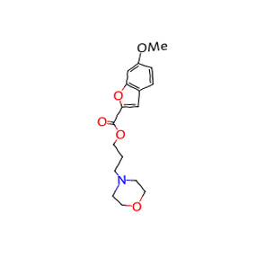 COc1ccc2cc(C(=O)OCCCN3CCOCC3)oc2c1